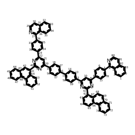 c1ccc2c(-c3ccc(-c4cc(-c5ccc(-c6ccc(-c7cc(-c8ccc(-c9nccc%10ccccc9%10)cc8)nc(-c8cc9ccccc9c9ccccc89)n7)cc6)cc5)nc(-c5cccc6c5ccc5ccccc56)n4)cc3)nccc2c1